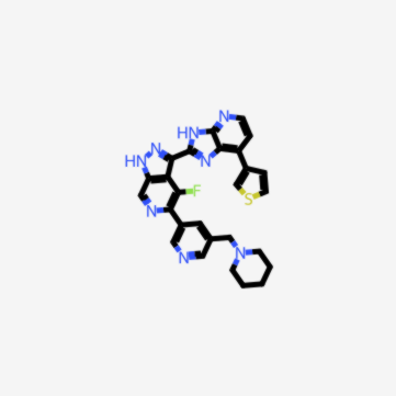 Fc1c(-c2cncc(CN3CCCCC3)c2)ncc2[nH]nc(-c3nc4c(-c5ccsc5)ccnc4[nH]3)c12